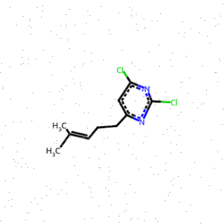 CC(C)=CCCc1cc(Cl)nc(Cl)n1